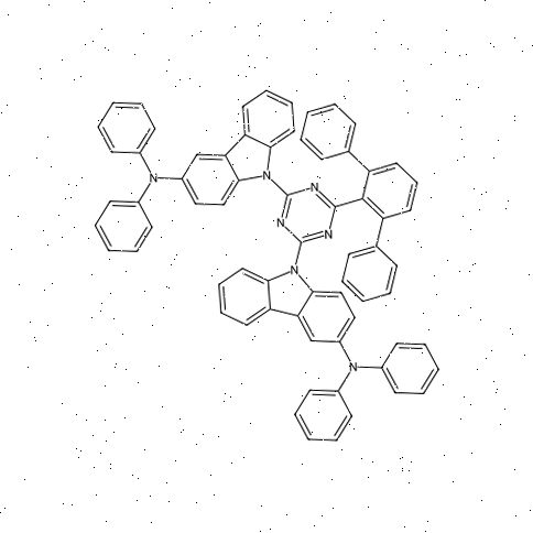 c1ccc(-c2cccc(-c3ccccc3)c2-c2nc(-n3c4ccccc4c4cc(N(c5ccccc5)c5ccccc5)ccc43)nc(-n3c4ccccc4c4cc(N(c5ccccc5)c5ccccc5)ccc43)n2)cc1